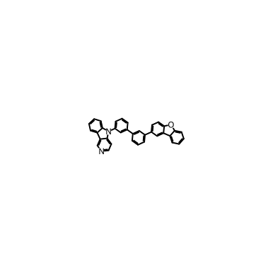 c1cc(-c2cccc(-n3c4ccccc4c4cnccc43)c2)cc(-c2ccc3oc4ccccc4c3c2)c1